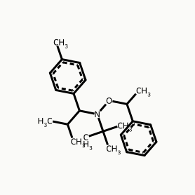 Cc1ccc(C(C(C)C)N(OC(C)c2ccccc2)C(C)(C)C)cc1